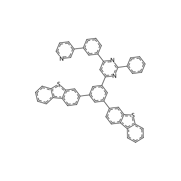 c1ccc(-c2nc(-c3cccc(-c4cccnc4)c3)cc(-c3cc(-c4ccc5c(c4)sc4ccccc45)cc(-c4ccc5c(c4)sc4ccccc45)c3)n2)cc1